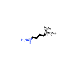 CO[SiH](CCCCNN)OC